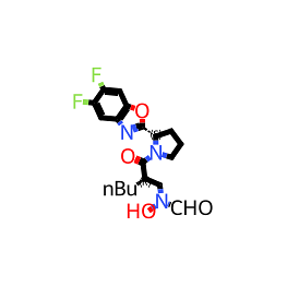 CCCC[C@H](CN(O)C=O)C(=O)N1CCC[C@H]1c1nc2cc(F)c(F)cc2o1